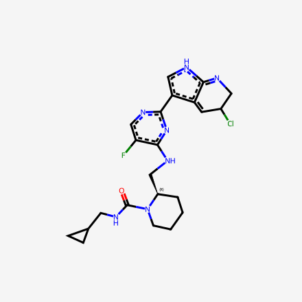 O=C(NCC1CC1)N1CCCC[C@@H]1CNc1nc(-c2c[nH]c3c2=CC(Cl)CN=3)ncc1F